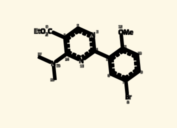 CCOC(=O)c1cnc(-c2cc(Br)ccc2OC)nc1N(C)C